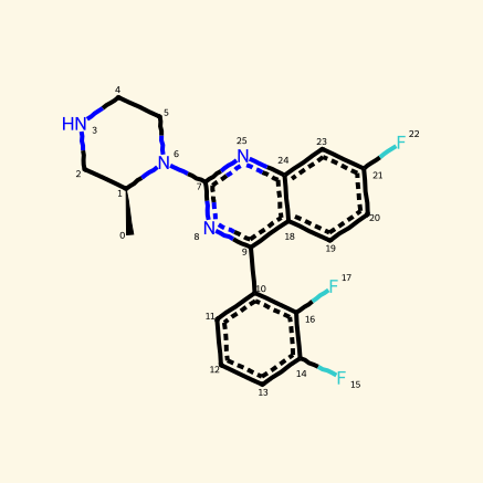 C[C@H]1CNCCN1c1nc(-c2cccc(F)c2F)c2ccc(F)cc2n1